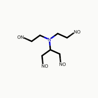 O=NCCN(CCN=O)C(CN=O)CN=O